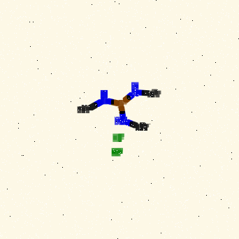 CCCN[S+](NCCC)NCCC.F.F